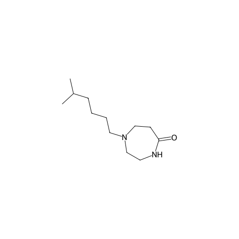 CC(C)CCCCN1CCNC(=O)CC1